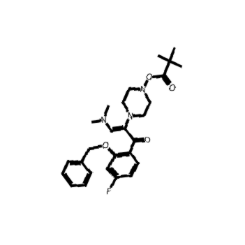 CN(C)C=C(C(=O)c1ccc(F)cc1OCc1ccccc1)N1CCN(OC(=O)C(C)(C)C)CC1